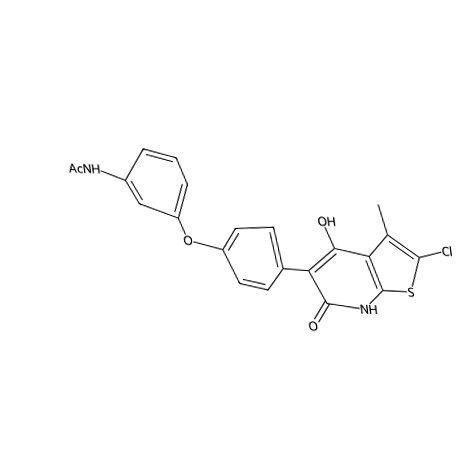 CC(=O)Nc1cccc(Oc2ccc(-c3c(O)c4c(C)c(Cl)sc4[nH]c3=O)cc2)c1